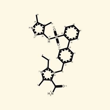 CCc1nc(C)c(C(N)=O)n1Cc1ccc(-c2ccccc2S(=O)(=O)Nc2onc(C)c2C)cc1